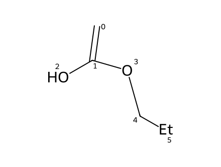 C=C(O)OCCC